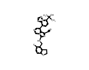 CC(C)(O)c1ccc(-c2cncn3c(NCc4c(F)ccc5c4CCO5)nc(C#N)c23)c2ncnn12